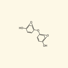 Oc1ccc(Oc2ccc(O)c3c2O3)c2c1O2